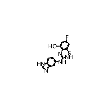 Oc1cc(F)cc2c1N=C(Nc1ccc3[nH]cnc3c1)NS2